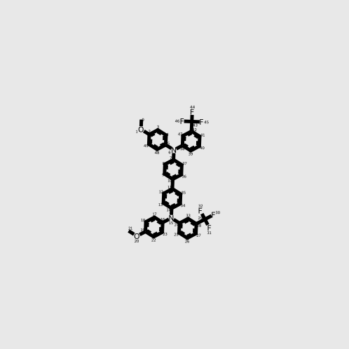 COc1ccc(N(c2ccc(-c3ccc(N(c4ccc(OC)cc4)c4cccc(C(F)(F)F)c4)cc3)cc2)c2cccc(C(F)(F)F)c2)cc1